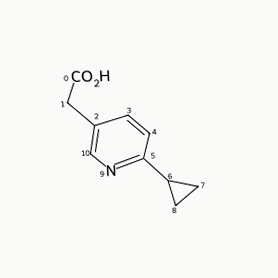 O=C(O)Cc1ccc(C2CC2)nc1